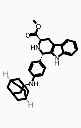 COC(=O)[C@H]1Cc2c([nH]c3ccccc23)[C@H](c2ccc(N[C@]34CC5C[C@H](C[C@H](C5)C3)C4)cc2)N1